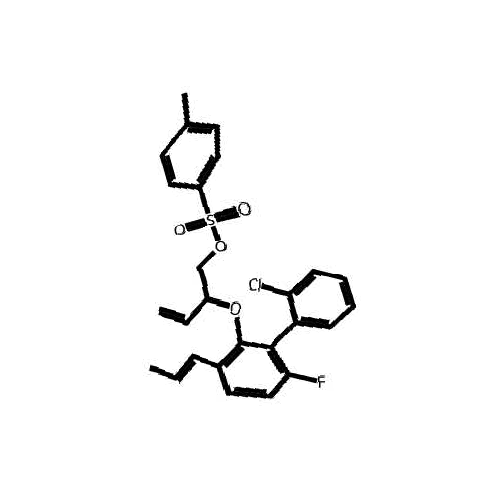 C=CC(COS(=O)(=O)c1ccc(C)cc1)Oc1c(C=CC)ccc(F)c1-c1ccccc1Cl